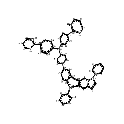 c1ccc(-n2ccc3cc4c(cc32)c2cc(-c3ccc(N(c5ccc(-c6ncccn6)cc5)c5ccc(-c6ncncn6)cc5)cc3)ccc2n4-c2ccccc2)cc1